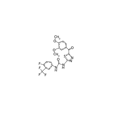 COc1ccc(C(=O)c2nnc(NC(=O)Nc3ccc(F)c(C(F)(F)F)c3)s2)cc1OC